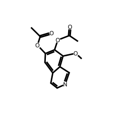 COc1c(OC(C)=O)c(OC(C)=O)cc2ccncc12